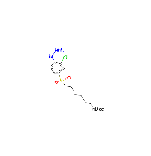 CCCCCCCCCCCCCCCCS(=O)(=O)c1ccc(NN)c(Cl)c1